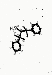 CC(C)(c1ccccc1)C([SiH3])C(C)(C)c1ccccc1